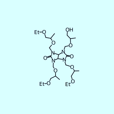 CCOCC(C)OCN1C(=O)N(COC(C)COCC)C2C1N(COC(C)CO)C(=O)N2COC(C)COCC